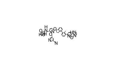 COc1nc(-c2cccc(-c3cccc4c3CC[C@@H]4Oc3ccc(CN[C@@](C)(CO)C(=O)O)c(OCc4cncc(C#N)c4)n3)c2C)ccc1C1=NCCN1